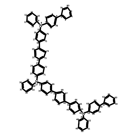 c1ccc(-c2ccc(N(c3ccccc3)c3ccc(-c4ccc(-c5ccc(N(c6ccccc6)c6ccc(-c7ccc(-c8ccc(N(c9ccccc9)c9ccc(-c%10ccccc%10)cc9)cc8)cc7)cc6)cc5)cc4)cc3)cc2)cc1